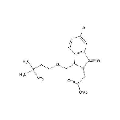 COC(=O)CN1C(=O)c2cc(Br)ccc2C1COCC[Si](C)(C)C